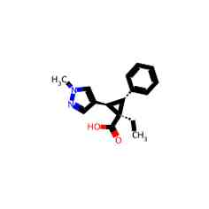 CC[C@@]1(C(=O)O)[C@@H](c2ccccc2)[C@@H]1c1cnn(C)c1